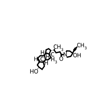 CC#CC1(O)CCN(C(=O)CCC(C)[C@H]2CC[C@H]3[C@@H]4CC=C5C[C@@H](O)CC[C@]5(C)[C@H]4CC[C@]23C)CC1